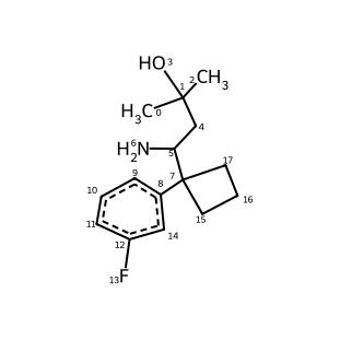 CC(C)(O)CC(N)C1(c2cccc(F)c2)CCC1